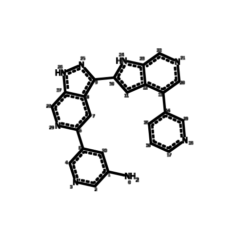 Nc1cncc(-c2cc3c(-c4cc5c(-c6cccnc6)cncc5[nH]4)n[nH]c3cn2)c1